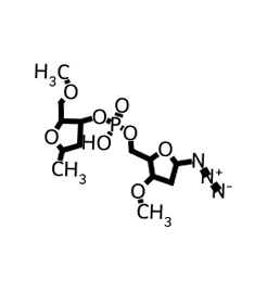 COCC1OC(C)CC1OP(=O)(O)OCC1OC(N=[N+]=[N-])CC1OC